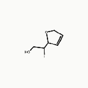 OCC(I)C1C=CCO1